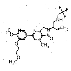 C=C/C(=C\NCC(F)(F)F)N1Cc2nc(-c3cnc(OC)c(OCCOC)c3)cc(C)c2C1=O